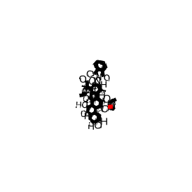 CC(=O)O[C@H]1[C@@H]2[C@H]([C@H](C)[C@H]3N(N4C(=O)c5ccccc5C4=O)[C@]34OC(=O)[C@@](C)(O)[C@]24C)[C@]2(C)[C@@H]1C1C([C@H](OC(C)=O)[C@@H]2OC(C)=O)[C@@]2(C)C[C@H]3O[C@H]3C[C@@H]2C(=O)[C@@H]1O